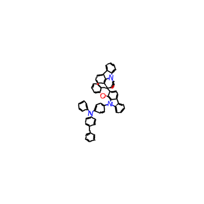 c1ccc(-c2ccc(N(c3ccccc3)c3ccc(-n4c5ccccc5c5ccc6c(c54)Oc4ccccc4C64c5ccccc5-n5c6ccccc6c6cccc4c65)cc3)cc2)cc1